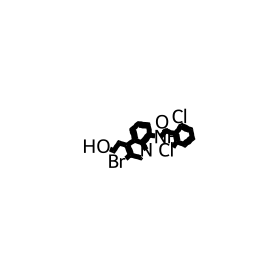 O=C(Nc1cccc2c(CCO)c(Br)cnc12)c1c(Cl)cccc1Cl